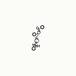 O=C(c1ccccc1)N1CCC(CCN2CCCN(c3nc4ccccc4[nH]3)CC2)(c2ccccc2)C1